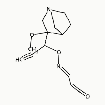 C#CC(ON=CC=O)C1(OC)CN2CCC1CC2